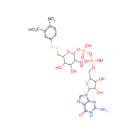 Nc1nc2c(ncn2C2OC(COP(=O)(O)OP(=O)(O)OC3OC(CSSc4ccc([N+](=O)[O-])c(C(=O)O)c4)C(O)C(O)C3O)C(O)C2O)c(=O)[nH]1